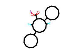 O=C(OI)C1CC(F)CC(C2CCCCCCCCCC2)CCCC(F)C(C2CCCCCCCCCC2)C1